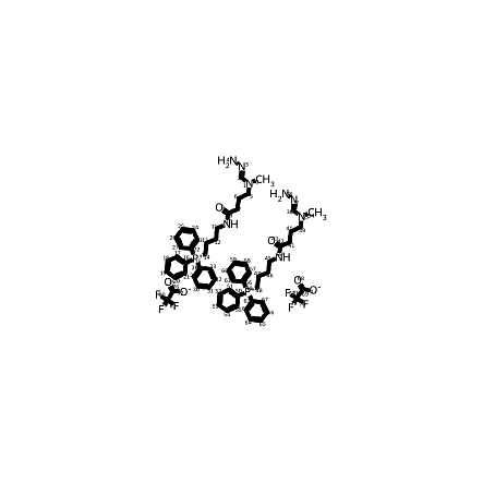 CN(C=NN)CCCC(=O)NCCCC[P+](c1ccccc1)(c1ccccc1)c1ccccc1.CN(C=NN)CCCC(=O)NCCCC[P+](c1ccccc1)(c1ccccc1)c1ccccc1.O=C([O-])C(F)(F)F.O=C([O-])C(F)(F)F